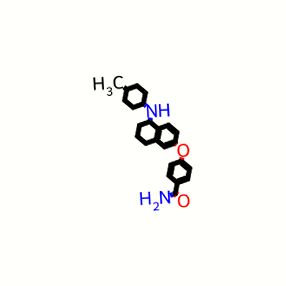 CC1CCC(NC2CCCc3cc(Oc4ccc(C(N)=O)cc4)ccc32)CC1